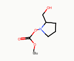 CC(C)(C)OC(=O)ON1CCCC1CO